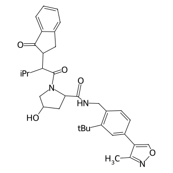 Cc1nocc1-c1ccc(CNC(=O)C2CC(O)CN2C(=O)C(C(C)C)C2Cc3ccccc3C2=O)c(C(C)(C)C)c1